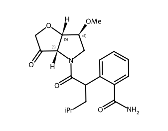 CO[C@H]1CN(C(=O)C(CC(C)C)c2ccccc2C(N)=O)[C@@H]2C(=O)CO[C@H]12